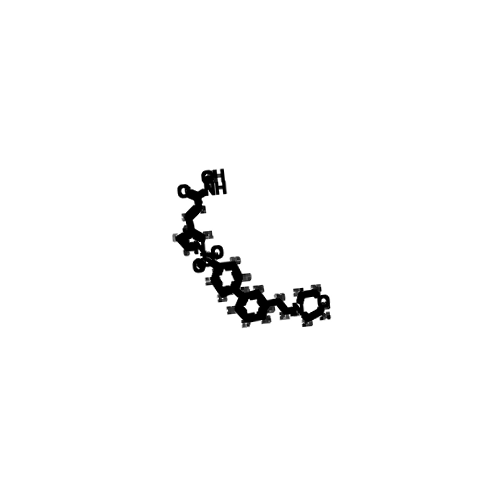 O=C(C=Cc1ccn(S(=O)(=O)c2ccc(-c3cccc(CCN4CCOCC4)c3)cc2)c1)NO